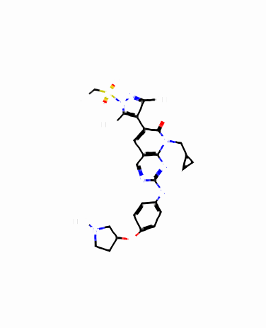 Cc1nn(S(=O)(=O)CC(F)(F)F)c(C)c1-c1cc2cnc(Nc3ccc(OC4CCN(C)C4)cc3)nc2n(CC2CC2)c1=O